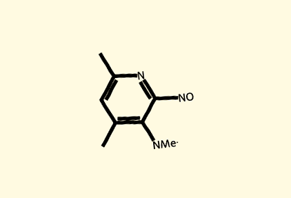 C[N]c1c(C)cc(C)nc1N=O